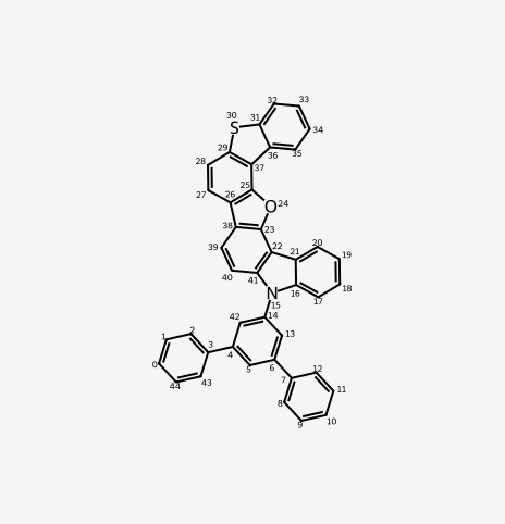 c1ccc(-c2cc(-c3ccccc3)cc(-n3c4ccccc4c4c5oc6c(ccc7sc8ccccc8c76)c5ccc43)c2)cc1